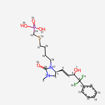 CN1C[C@H](/C=C/C(O)C(F)(F)c2ccccc2)N(CCCCSCP(=O)(O)O)C1=O